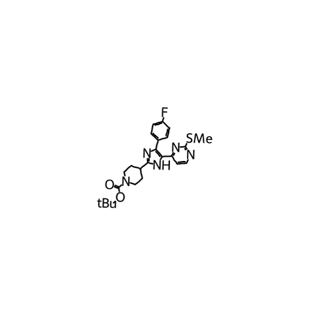 CSc1nccc(-c2[nH]c(C3CCN(C(=O)OC(C)(C)C)CC3)nc2-c2ccc(F)cc2)n1